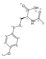 COc1ccc(SSC[C@H](NC(C)=O)C(=O)O)cc1